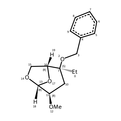 CC[C@]1(OCc2ccccc2)C[C@@H](OC)[C@@H]2OC[C@H]1O2